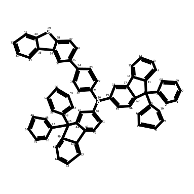 c1ccc(C2(c3ccccc3)c3ccccc3-c3cc(N(c4ccc(-c5ccc6sc7ccccc7c6c5)cc4)c4ccc5c(c4)C(c4ccccc4)(c4ccccc4)c4ccccc4-5)ccc32)cc1